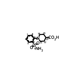 NS(=O)(=O)c1ccccc1N1CCC(C(=O)O)CC1